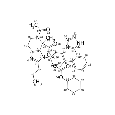 CCCc1nc2c(n1-c1ccc(-c3ccccc3-c3nnn[nH]3)cc1)C(C)(C(=O)OCOC(=O)OC1CCCCC1)N(C(C)=O)CC2